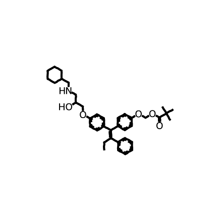 CCC(=C(c1ccc(OCOC(=O)C(C)(C)C)cc1)c1ccc(OCC(O)CNCC2CCCCC2)cc1)c1ccccc1